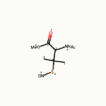 COC(=O)C(NC(C)=O)C(C)(C)SN=O